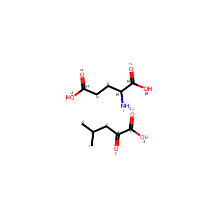 CC(C)CC(=O)C(=O)O.NC(CCC(=O)O)C(=O)O